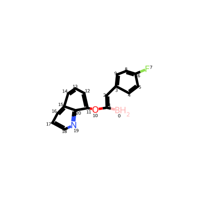 BC(=Cc1ccc(F)cc1)Oc1cccc2cccnc12